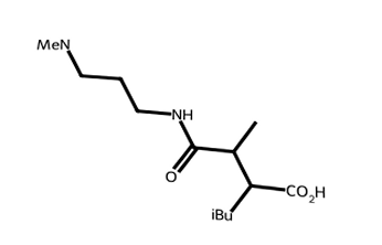 CCC(C)C(C(=O)O)C(C)C(=O)NCCCNC